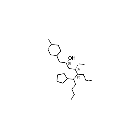 CCCCC(C1CCCC1)[C@H](CCC)[C@@H](CC)C[C@@H](O)CC1CCC(C)CC1